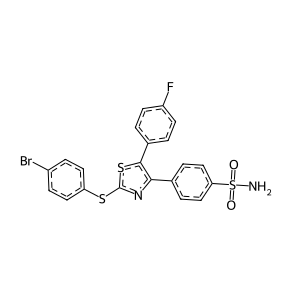 NS(=O)(=O)c1ccc(-c2nc(Sc3ccc(Br)cc3)sc2-c2ccc(F)cc2)cc1